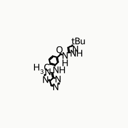 Cc1ccc(C(=O)Nc2cc(C(C)(C)C)n[nH]2)cc1Nc1ncnc2cncnc12